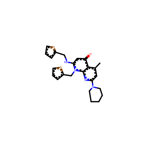 Cc1cc(N2CCCCC2)nc2c1c(=O)cc(NCc1cccs1)n2Cc1cccs1